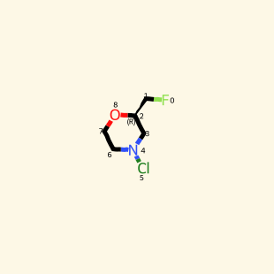 FC[C@H]1CN(Cl)CCO1